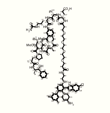 CC[C@H](C)[C@@H]([C@@H](CC(=O)N1CCC[C@H]1C[C@@H](C)C(=O)N[C@H](C)[C@@H](O)c1ccccc1)OC)N(C)C(=O)[C@@H](NC(=O)[C@H](C(C)C)N(C)C(=O)OCc1ccc(NC(=O)[C@H](CCCNC(N)=O)NC(=O)[C@@H](NC(=O)[C@H](CCC(=O)O)NC(=O)CCOCCOCCOCCOCCC(=O)NCCNc2ncc(-c3cc(C)cc(F)c3)c(N3CCC(N)CC3)c2-c2nc3ccc(Cl)cc3[nH]2)C(C)C)cc1C(=O)NC)C(C)C